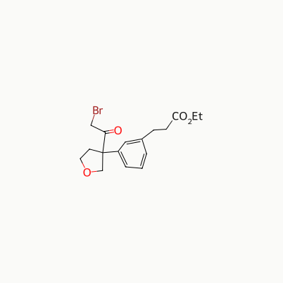 CCOC(=O)CCc1cccc(C2(C(=O)CBr)CCOC2)c1